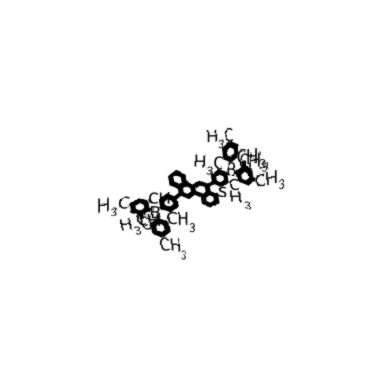 Cc1cc(C)c(B(c2ccc(-c3cc4c5cccc6c5c(cc4c4ccccc34)-c3ccc(B(c4c(C)cc(C)cc4C)c4c(C)cc(C)cc4C)cc3S6)cc2)c2c(C)cc(C)cc2C)c(C)c1